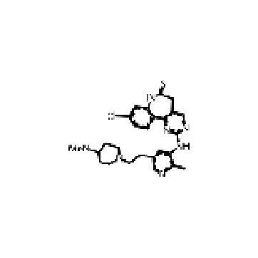 CNC1CCN(CCc2cnc(C)c(Nc3ncc4c(n3)-c3ccc(Cl)cc3NC(=S)C4)c2)CC1